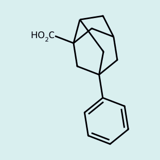 O=C(O)C12CC3CC1CC(c1ccccc1)(C3)C2